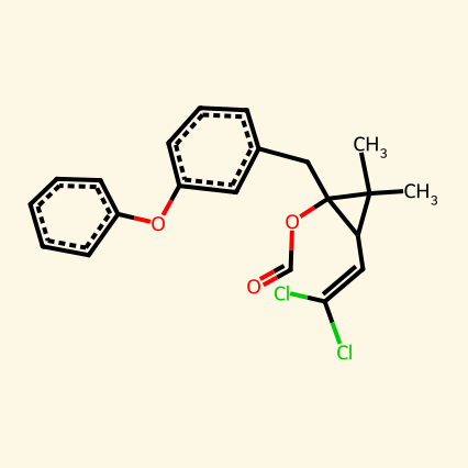 CC1(C)C(C=C(Cl)Cl)C1(Cc1cccc(Oc2ccccc2)c1)OC=O